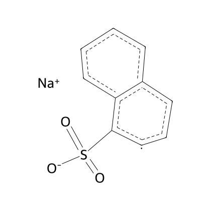 O=S(=O)([O-])c1[c]ccc2ccccc12.[Na+]